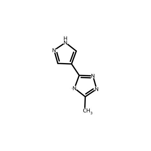 CC1=NN=C(c2cn[nH]c2)[N]1